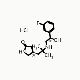 CC(C)(C[C@H]1CNC(=O)C1)NC[C@H](O)c1cccc(F)c1.Cl